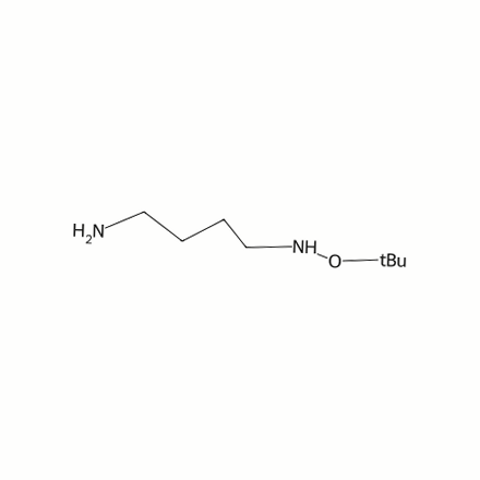 CC(C)(C)ONCCCCN